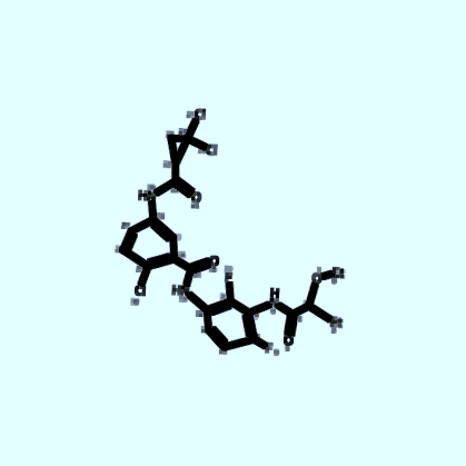 CCOC(CC)C(=O)Nc1c(F)ccc(NC(=O)c2cc(NC(=O)C3CC3(Cl)Cl)ccc2Cl)c1F